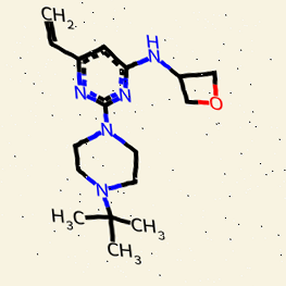 C=Cc1cc(NC2COC2)nc(N2CCN(C(C)(C)C)CC2)n1